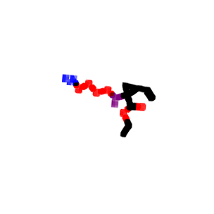 C=CC1CC1(POOOON)C(=O)OCC